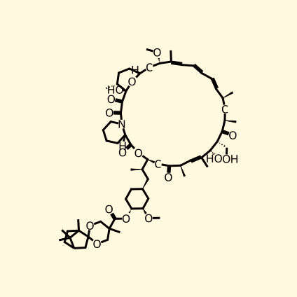 CO[C@H]1C[C@@H]2CC[C@@H](C)[C@@](O)(O2)C(=O)C(=O)N2CCCC[C@H]2C(=O)O[C@H]([C@H](C)C[C@@H]2CC[C@@H](OC(=O)C3(C)COC4(CC5CCC4(C)C5(C)C)OC3)[C@H](OC)C2)CC(=O)[C@H](C)/C=C(\C)[C@@H](O)[C@@H](CO)C(=O)[C@H](C)C[C@H](C)/C=C/C=C/C=C/1C